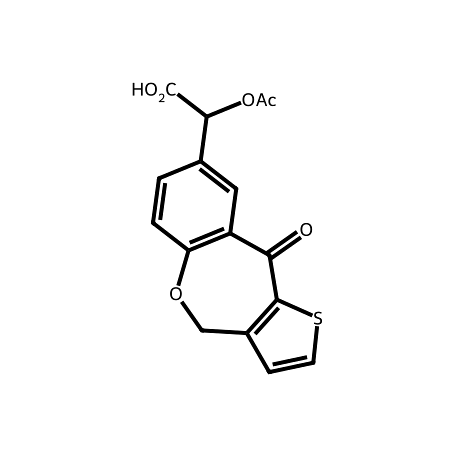 CC(=O)OC(C(=O)O)c1ccc2c(c1)C(=O)c1sccc1CO2